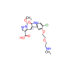 CNCCOCCOc1cc2c(cc1Cl)NC(=O)/C2=C\c1c(C(=O)O)cnn1COC